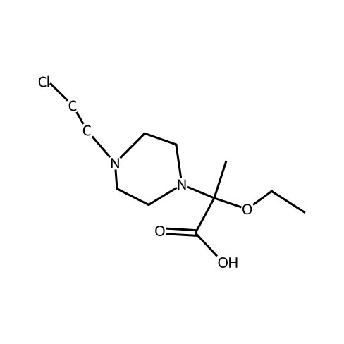 CCOC(C)(C(=O)O)N1CCN(CCCl)CC1